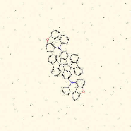 c1ccc(N(c2ccc3c(c2)C2(C4=C3C3(c5cc(N(c6ccccc6)c6cccc7oc8ccccc8c67)ccc54)c4ccccc4-c4ccccc43)c3ccccc3-c3ccccc32)c2cccc3oc4ccccc4c23)cc1